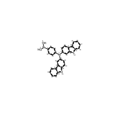 OB(O)c1ccc(N(c2ccc3c(c2)sc2ccccc23)c2ccc3oc4ccccc4c3c2)cc1